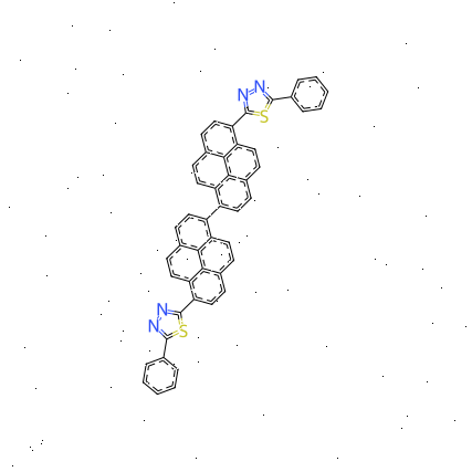 c1ccc(-c2nnc(-c3ccc4ccc5c(-c6ccc7ccc8c(-c9nnc(-c%10ccccc%10)s9)ccc9ccc6c7c98)ccc6ccc3c4c65)s2)cc1